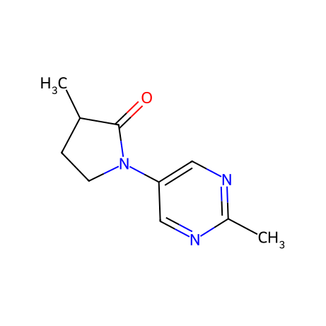 Cc1ncc(N2CCC(C)C2=O)cn1